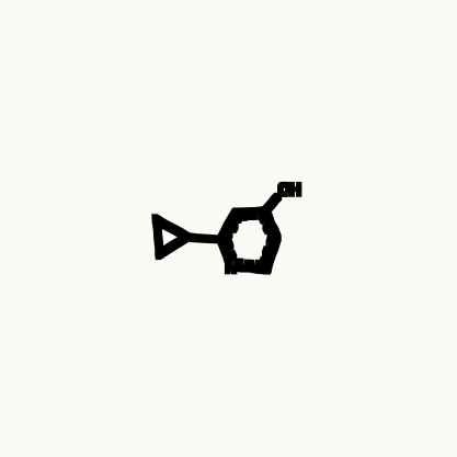 Oc1ccnc(C2CC2)c1